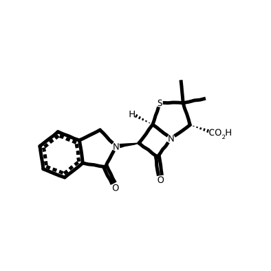 CC1(C)S[C@@H]2[C@H](N3Cc4ccccc4C3=O)C(=O)N2[C@H]1C(=O)O